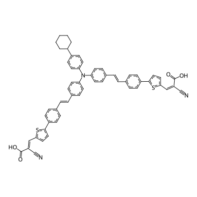 N#C/C(=C/c1ccc(-c2ccc(/C=C/c3ccc(N(c4ccc(/C=C/c5ccc(-c6ccc(/C=C(\C#N)C(=O)O)s6)cc5)cc4)c4ccc(C5CCCCC5)cc4)cc3)cc2)s1)C(=O)O